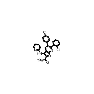 CC(C)(C)C(=O)c1oc2nc(-c3ccccc3Cl)c(-c3ccc(Cl)cc3)cc2c1Nc1ccccn1